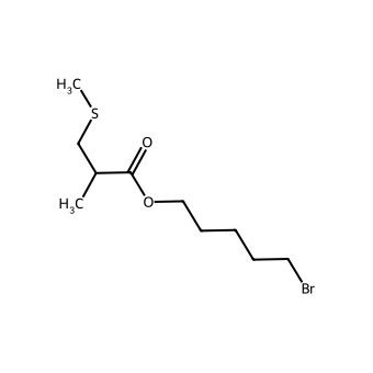 CSCC(C)C(=O)OCCCCCBr